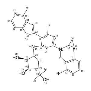 Cc1nc(N(Cc2c(F)cccc2F)C2CC2)nc(NC2C[C@H](C(C)(C)O)[C@@H](O)[C@H]2O)c1-c1nc2c(C)nccc2s1